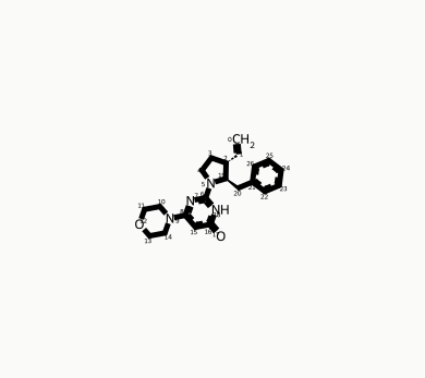 C=C[C@H]1CCN(c2nc(N3CCOCC3)cc(=O)[nH]2)[C@@H]1Cc1ccccc1